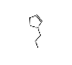 ICCN1C=CCC1